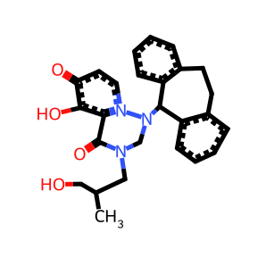 CC(CO)CN1CN(C2c3ccccc3CCc3ccccc32)n2ccc(=O)c(O)c2C1=O